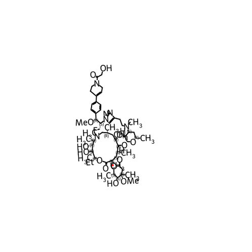 CC[C@H]1OC(=O)[C@H](C)[C@@H](OC2C[C@@](C)(OC)[C@@H](O)[C@H](C)O2)[C@H](C)[C@H]2OC3O[C@H](C)C[C@H](N(C)CCc4cn([C@H](CF)[C@H](OC)c5ccc(C6=CCN(C(=O)CO)CC6)cc5)nn4)[C@H]3O[C@]2(C)C[C@@H](C)CN(C)[C@H](C)[C@@H](O)[C@]1(C)O